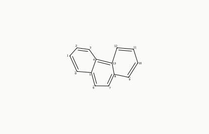 [c]1cccc2c1[c]cc1[c]cccc12